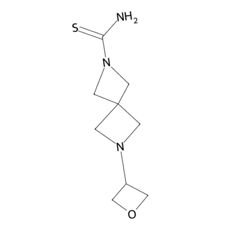 NC(=S)N1CC2(C1)CN(C1COC1)C2